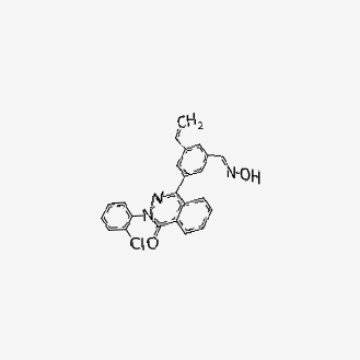 C=Cc1cc(C=NO)cc(-c2nn(-c3ccccc3Cl)c(=O)c3ccccc23)c1